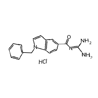 Cl.NC(N)=NC(=O)c1ccc2c(ccn2Cc2ccccc2)c1